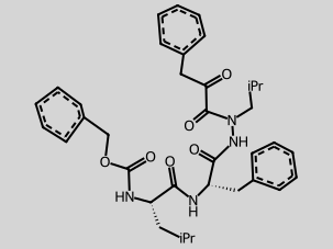 CC(C)C[C@H](NC(=O)OCc1ccccc1)C(=O)N[C@@H](Cc1ccccc1)C(=O)NN(CC(C)C)C(=O)C(=O)Cc1ccccc1